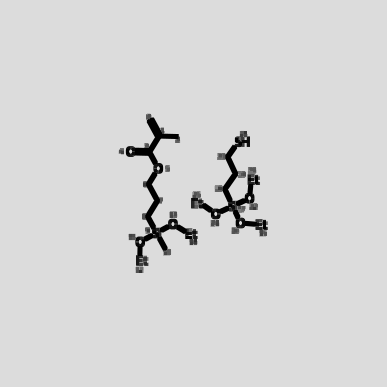 C=C(C)C(=O)OCCC[Si](C)(OCC)OCC.CCO[Si](CCCS)(OCC)OCC